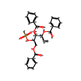 CS(=O)(=O)O[C@H](COC(=O)c1ccccc1)[C@@H](OC(=O)c1ccccc1)[C@H](C=O)OC(=O)c1ccccc1